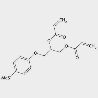 C=CC(=O)OCC(COc1ccc(SC)cc1)OC(=O)C=C